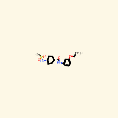 CC(C)(C)S(=O)(=O)N[C@H]1CC[C@H](C(=O)Nc2cccc(OCC(=O)O)c2)CC1